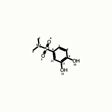 CN(C)S(=O)(=O)c1ccc(O)c(O)c1